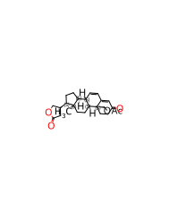 CC(=O)OC[C@]12CCC(=O)C=C1C=C[C@@H]1[C@@H]2CC[C@]2(C)[C@@H](C3=CC(=O)OC3)CC[C@@H]12